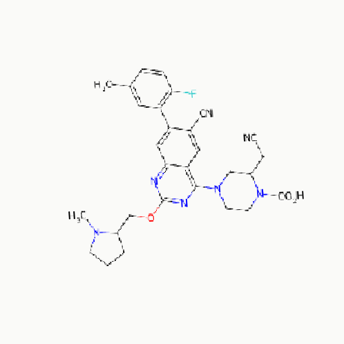 Cc1ccc(F)c(-c2cc3nc(OCC4CCCN4C)nc(N4CCN(C(=O)O)C(CC#N)C4)c3cc2C#N)c1